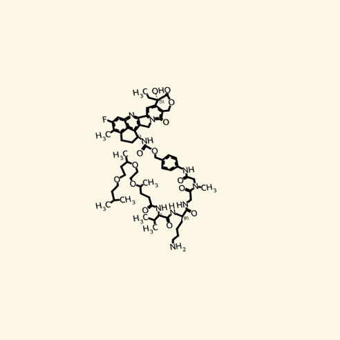 CC[C@@]1(O)C(=O)OCc2c1cc1n(c2=O)Cc2c-1nc1cc(F)c(C)c3c1c2[C@@H](NC(=O)OCc1ccc(NC(=O)CN(C)C(=O)CNC(=O)[C@@H](CCCCN)NC(=O)[C@H](NC(=O)CCC(C)OCCOC(C)CCOCCC(C)C)C(C)C)cc1)CC3